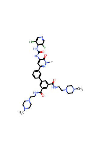 CCn1nc(-c2cccc(-c3cc(C(=O)NCCN4CCN(C)CC4)cc(C(=O)NCCN4CCN(C)CC4)c3)c2)cc(NC(=O)Nc2c(Cl)cncc2Cl)c1=O